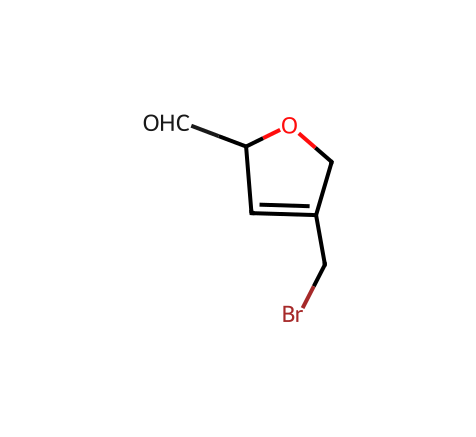 O=CC1C=C(CBr)CO1